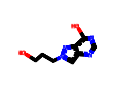 OCCCn1cc2ncnc(O)c2n1